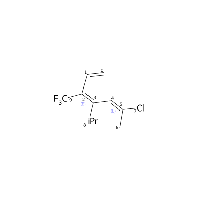 C=C/C(=C(\C=C(/C)Cl)C(C)C)C(F)(F)F